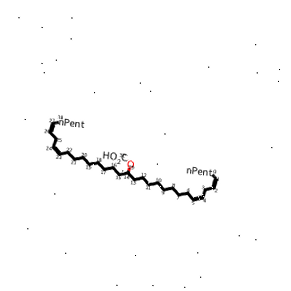 CCCCC/C=C\C/C=C\CCCCCCCCC(CCCCCCCC/C=C\C/C=C\CCCCC)OC(=O)O